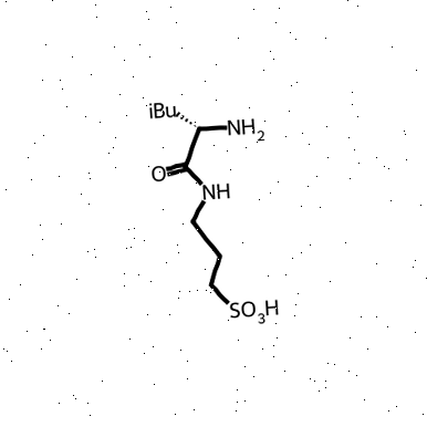 CCC(C)[C@H](N)C(=O)NCCCS(=O)(=O)O